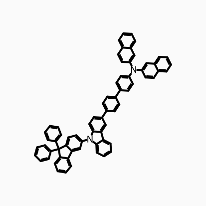 c1ccc(C2(c3ccccc3)c3ccccc3-c3cc(-n4c5ccccc5c5cc(-c6ccc(-c7ccc(N(c8ccc9ccccc9c8)c8ccc9ccccc9c8)cc7)cc6)ccc54)ccc32)cc1